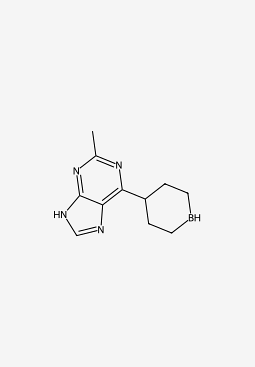 Cc1nc(C2CCBCC2)c2nc[nH]c2n1